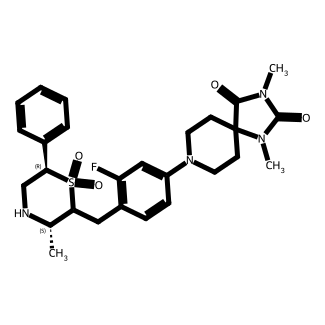 C[C@@H]1NC[C@@H](c2ccccc2)S(=O)(=O)C1Cc1ccc(N2CCC3(CC2)C(=O)N(C)C(=O)N3C)cc1F